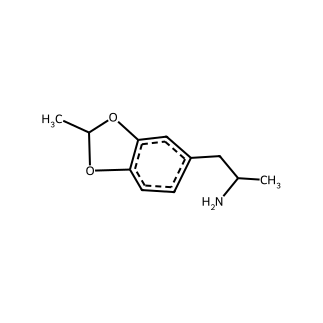 CC(N)Cc1ccc2c(c1)OC(C)O2